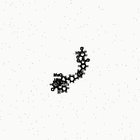 COc1cc(N2CCC(CN3CC4CCC3CN4c3ccc4c(c3)C(=O)N(C3CCC(=O)NC3=O)C4=O)CC2)ccc1Nc1ncc(Cl)c(Nc2ccccc2P(C)(C)=O)n1